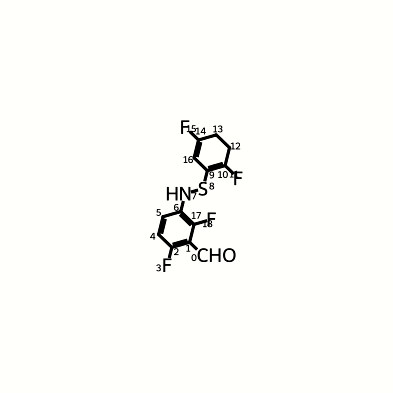 O=Cc1c(F)ccc(NSC2=C(F)CCC(F)=C2)c1F